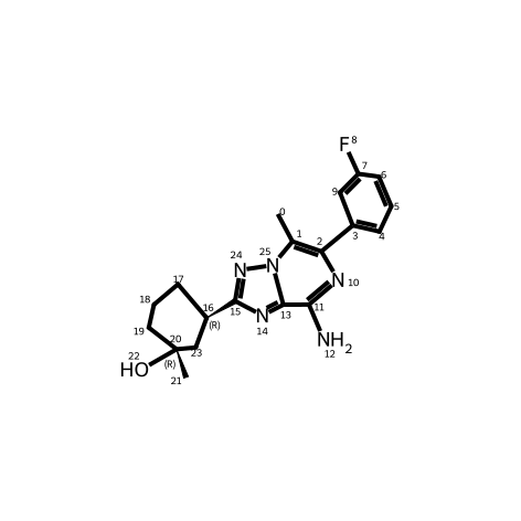 Cc1c(-c2cccc(F)c2)nc(N)c2nc([C@@H]3CCC[C@@](C)(O)C3)nn12